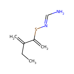 C=C(CC)C(=C)SN=CN